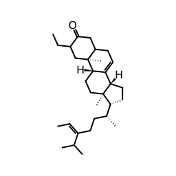 CC=C(CC[C@@H](C)[C@H]1CC[C@H]2C3=CCC4CC(=O)C(CC)C[C@]4(C)[C@H]3CC[C@]12C)C(C)C